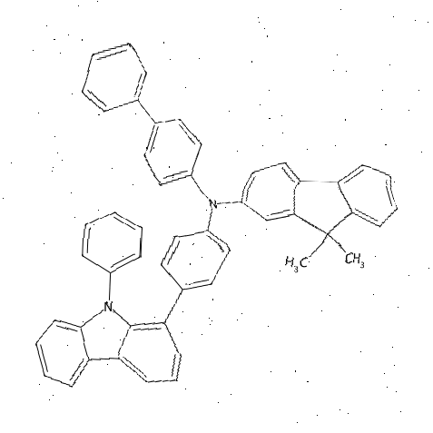 CC1(C)c2ccccc2-c2ccc(N(c3ccc(-c4ccccc4)cc3)c3ccc(-c4cccc5c6ccccc6n(-c6ccccc6)c45)cc3)cc21